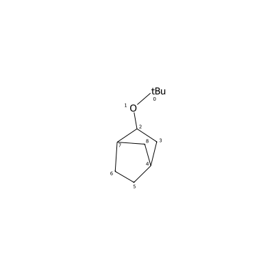 CC(C)(C)OC1CC2CCC1C2